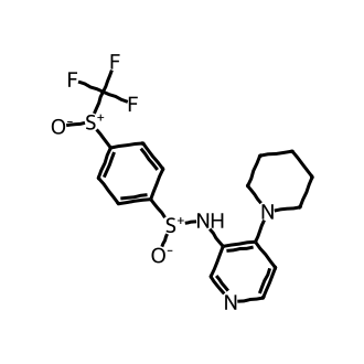 [O-][S+](Nc1cnccc1N1CCCCC1)c1ccc([S+]([O-])C(F)(F)F)cc1